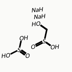 O=S(O)CO.O=S(O)O.[NaH].[NaH]